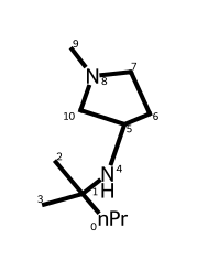 CCCC(C)(C)NC1CCN(C)C1